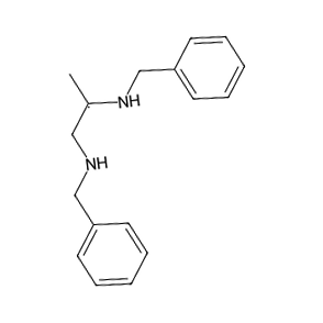 C[C](CNCc1ccccc1)NCc1ccccc1